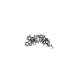 C[C@H](NP(=O)(OC[C@H]1O[C@@](C#N)(c2ccc3c(N)ncnn23)[C@](C)(O)[C@@H]1O)Oc1ccccc1)C(=O)OC1CCCC1